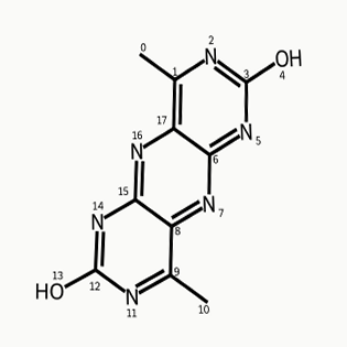 Cc1nc(O)nc2nc3c(C)nc(O)nc3nc12